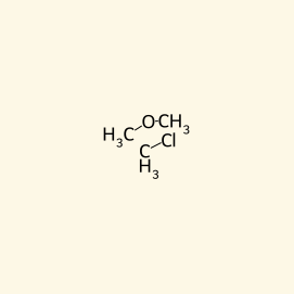 CCl.COC